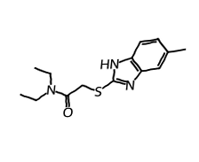 CCN(CC)C(=O)CSc1nc2cc(C)ccc2[nH]1